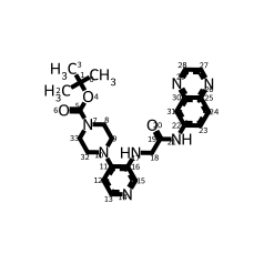 CC(C)(C)OC(=O)N1CCN(c2ccncc2NCC(=O)Nc2ccc3nccnc3c2)CC1